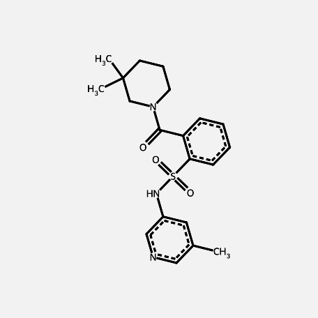 Cc1cncc(NS(=O)(=O)c2ccccc2C(=O)N2CCCC(C)(C)C2)c1